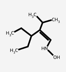 CCC(CC)/C(=C\NO)C(C)C